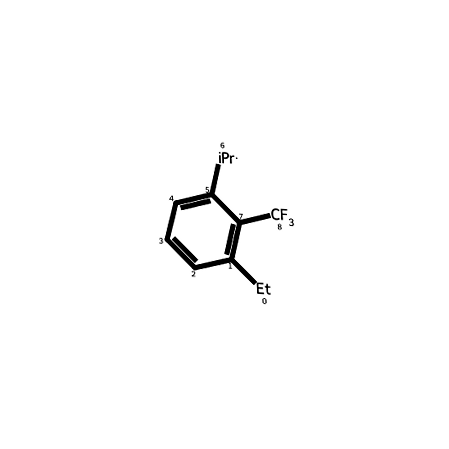 CCc1cccc([C](C)C)c1C(F)(F)F